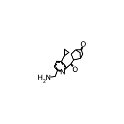 NCc1ccc(C2CC2)c(C(=O)C2CC3CC2CC3=O)n1